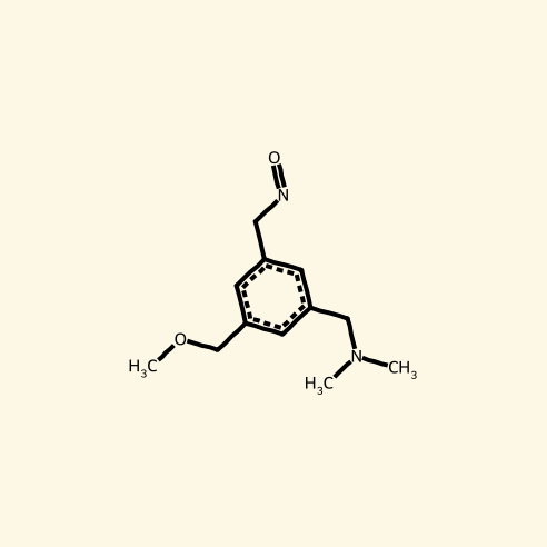 COCc1cc(CN=O)cc(CN(C)C)c1